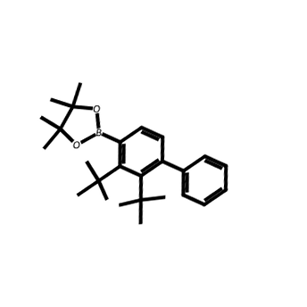 CC(C)(C)c1c(B2OC(C)(C)C(C)(C)O2)ccc(-c2ccccc2)c1C(C)(C)C